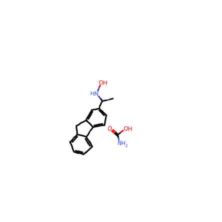 CC(NO)c1ccc2c(c1)Cc1ccccc1-2.NC(=O)O